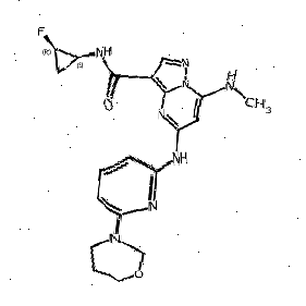 CNc1cc(Nc2cccc(N3CCCOC3)n2)nc2c(C(=O)N[C@H]3C[C@H]3F)cnn12